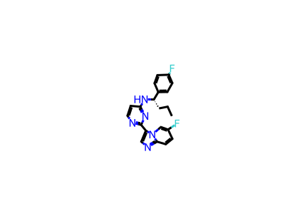 CCC[C@H](Nc1ccnc(-c2cnc3ccc(F)cn23)n1)c1ccc(F)cc1